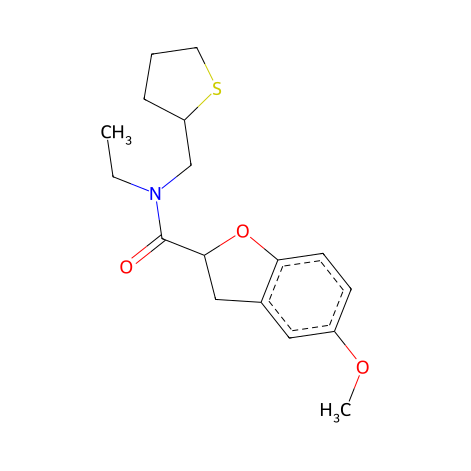 CCN(CC1CCCS1)C(=O)C1Cc2cc(OC)ccc2O1